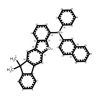 CC1(C)c2ccccc2-c2cc3oc4c(N(c5ccccc5)c5ccc6ccccc6c5)cccc4c3cc21